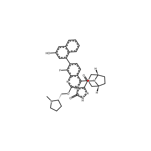 CN1CCC[C@H]1COc1nc(N2C[C@H]3CC[C@@H](C2)N3C(=O)c2n[nH]c(=O)[nH]2)c2ccc(-c3cc(O)cc4ccccc34)c(F)c2n1